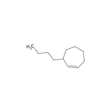 C[CH]CCC1C=CCCCC1